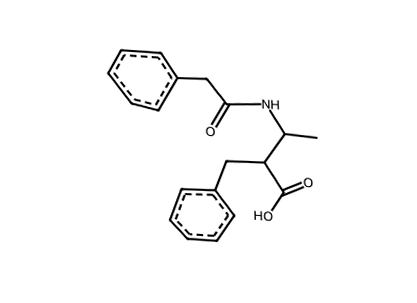 CC(NC(=O)Cc1ccccc1)C(Cc1ccccc1)C(=O)O